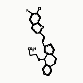 O=C(O)CCSC1c2ccccc2C=Cc2ccc(C=Cc3ccc4cc(F)c(Cl)cc4n3)cc21